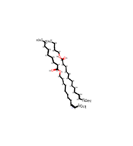 CCCCCCCC/C=C\CCCCCCCCOC(=O)CCCCCCCCCCCCCCCCC.CCCCCCCCCCCCCCCCCCCCCC(=O)OCCCCCCCCCCCCC